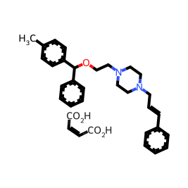 Cc1ccc(C(OCCN2CCN(CC=Cc3ccccc3)CC2)c2ccccc2)cc1.O=C(O)/C=C\C(=O)O